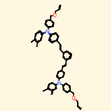 C=CCOCc1ccc(N(c2ccc(C=Cc3cccc(C=Cc4ccc(N(c5ccc(COCC=C)cc5)c5ccc(C)c(C)c5)cc4)c3)cc2)c2ccc(C)c(C)c2)cc1